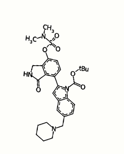 CN(C)S(=O)(=O)Oc1ccc(-c2cc3cc(CN4CCCCC4)ccc3n2C(=O)OC(C)(C)C)c2c1CNC2=O